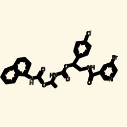 CC(NC(=O)OC(CNC(=O)c1cncc(Br)c1)c1ccc(Cl)cc1)OC(=O)Nc1cccc2ccccc12